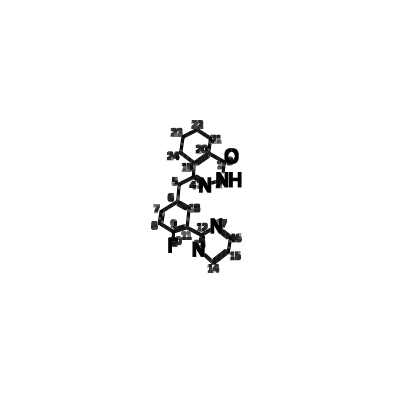 O=c1[nH]nc(Cc2ccc(F)c(-c3ncccn3)c2)c2c1CCCC2